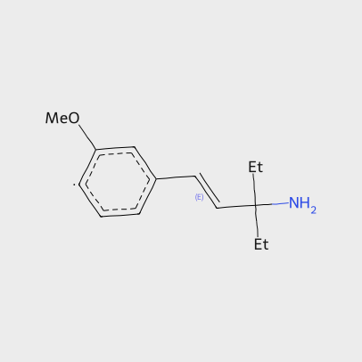 CCC(N)(/C=C/c1cc[c]c(OC)c1)CC